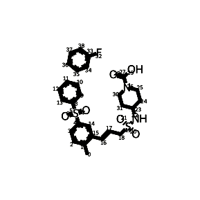 Cc1ccc(S(=O)(=O)c2ccccc2)cc1C=CCS(=O)(=O)NC1CCN(C(=O)O)CC1.Fc1ccccc1